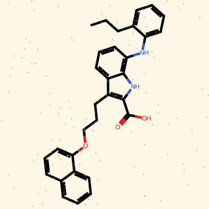 CCCc1ccccc1Nc1cccc2c(CCCOc3cccc4ccccc34)c(C(=O)O)[nH]c12